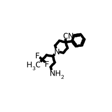 CC(F)(F)CC(CCN)N1CCC(C#N)(c2ccccc2)CC1